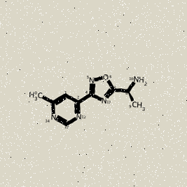 Cc1cc(-c2noc([C@H](C)N)n2)ncn1